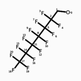 [O]CC(F)(F)C(F)(F)C(F)(F)C(F)(F)C(F)(F)C(F)(F)F